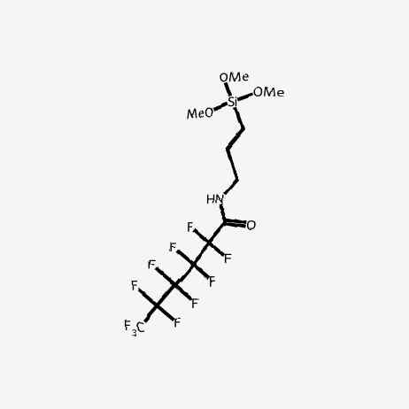 CO[Si](CCCNC(=O)C(F)(F)C(F)(F)C(F)(F)C(F)(F)C(F)(F)F)(OC)OC